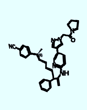 C=C(Nc1ccc(-c2cnn(CC(=O)N3CCCC3)c2)cn1)C(CCCC[C@@H](C)c1ccc(C#N)cc1)c1ccccc1